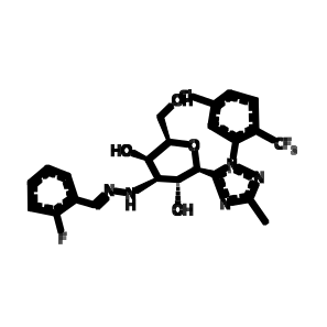 Cc1nc([C@@H]2O[C@H](CO)[C@H](O)[C@H](NN=Cc3ccccc3F)[C@H]2O)n(-c2cc(Cl)ccc2C(F)(F)F)n1